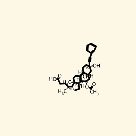 CC(=O)O[C@@H]1C[C@@H]2C[C@@](O)(C#Cc3ccccc3)CC[C@]2(C)[C@H]2CC[C@]3(C)[C@@H]([C@H](C)CCC(=O)O)CC[C@H]3[C@H]12